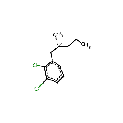 CCC[C@@H](C)Cc1cccc(Cl)c1Cl